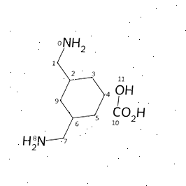 NCC1CCCC(CN)C1.O=C(O)O